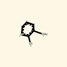 CCc1ncccc1OC(C)=O